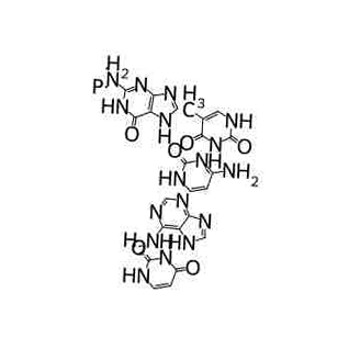 Cc1c[nH]c(=O)[nH]c1=O.Nc1cc[nH]c(=O)n1.Nc1nc2nc[nH]c2c(=O)[nH]1.Nc1ncnc2nc[nH]c12.O=c1cc[nH]c(=O)[nH]1.[P]